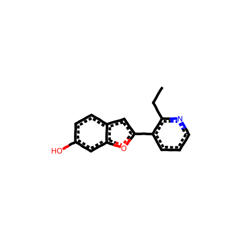 CCc1ncccc1-c1cc2ccc(O)cc2o1